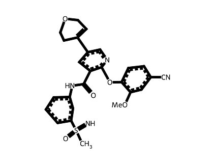 COc1cc(C#N)ccc1Oc1ncc(C2=CCOCC2)cc1C(=O)Nc1cccc(S(C)(=N)=O)c1